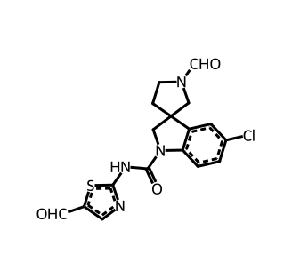 O=Cc1cnc(NC(=O)N2CC3(CCN(C=O)C3)c3cc(Cl)ccc32)s1